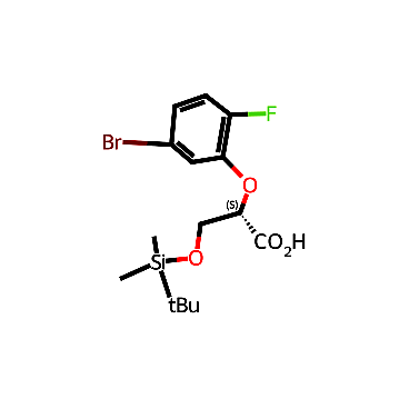 CC(C)(C)[Si](C)(C)OC[C@H](Oc1cc(Br)ccc1F)C(=O)O